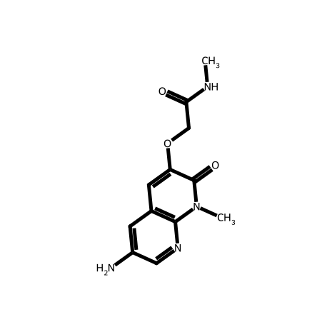 CNC(=O)COc1cc2cc(N)cnc2n(C)c1=O